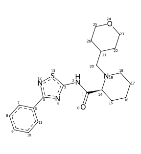 O=C(Nc1nc(-c2ccccc2)ns1)[C@@H]1CCCCN1CC1CCOCC1